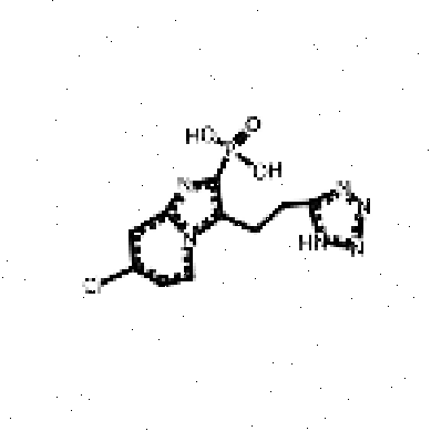 O=P(O)(O)c1nc2cc(Cl)ccn2c1CCc1nnn[nH]1